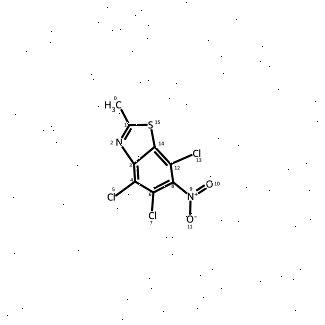 Cc1nc2c(Cl)c(Cl)c([N+](=O)[O-])c(Cl)c2s1